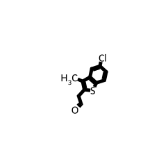 Cc1c(CC=O)sc2ccc(Cl)cc12